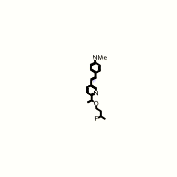 CNc1ccc(/C=C/c2ccc(C(C)OCCC(C)F)nc2)cc1